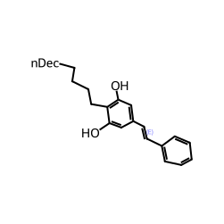 CCCCCCCCCCCCCCc1c(O)cc(/C=C/c2ccccc2)cc1O